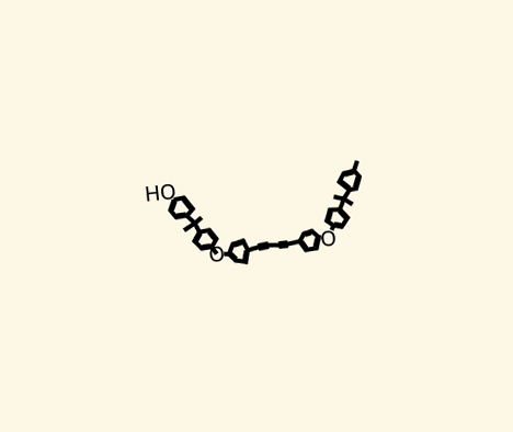 Cc1ccc(C(C)(C)c2ccc(Oc3ccc(C#CC#Cc4ccc(Oc5ccc(C(C)(C)c6ccc(O)cc6)cc5)cc4)cc3)cc2)cc1